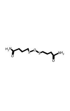 NC(=O)CCCSOSCCCC(N)=O